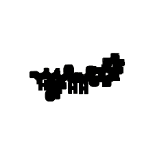 CCCCC[C@H](CN(O)C=O)C(=O)NCNC(=O)Oc1ccc2ncccc2c1